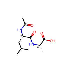 CC(=O)N[C@@H](CC(C)C)C(=O)N[C@@H](C)C(=O)O